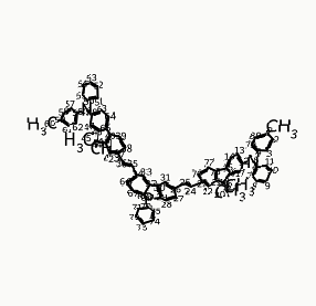 Cc1ccc(N(c2ccccc2)c2ccc3c(c2)C(C)(C)c2cc(/C=C/c4ccc5c(c4)c4cc(/C=C/c6ccc7c(c6)C(C)(C)c6cc(N(c8ccccc8)c8ccc(C)cc8)ccc6-7)ccc4p5-c4ccccc4)ccc2-3)cc1